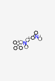 CC1C=CCCC1n1c2ccccc2c2cc(C3(C)C=CC(N(C4=CCCC=C4)C4C=C5C(C)(CC4)c4ccccc4C5(c4ccccc4)c4ccccc4)CC3)ccc21